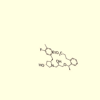 CCOC(=O)CCc1ccccc1[C@@H](C)OC[C@H](O)CN1C[C@H](O)C[C@H]1Cc1ccc(C)c(F)c1